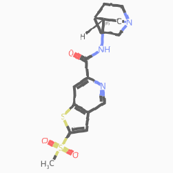 CS(=O)(=O)c1cc2cnc(C(=O)N[C@H]3CN4CCC3CC4)cc2s1